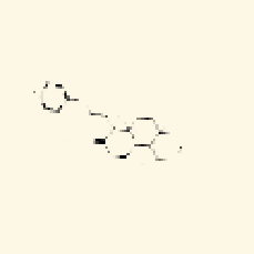 C=C1CCC2[C@]3(C)CO[C@@H](C)O[C@@H]3CC[C@@]2(C)[C@@H]1CCOc1ccncc1